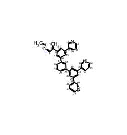 C=C/N=C\C(=C)c1cc(-c2cccnc2)cc(-c2cccc(-c3cc(-c4cccnc4)cc(-c4cccnc4)c3)c2)c1